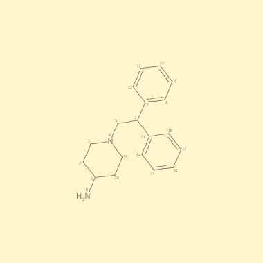 NC1CCN(CC(c2ccccc2)c2ccccc2)CC1